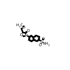 COCC1OCN(c2ccc3cc(S(N)(=O)=O)ccc3c2)C1=O